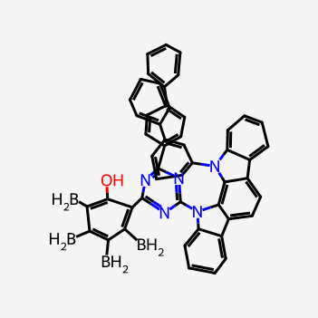 Bc1c(B)c(B)c(-c2nc(-c3ccc(-c4ccccc4)cc3)nc(-n3c4ccccc4c4ccc5c6ccccc6n(-c6cccc(-c7ccccc7)c6)c5c43)n2)c(O)c1B